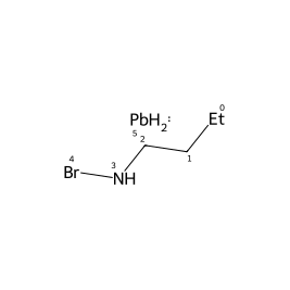 CCCCNBr.[PbH2]